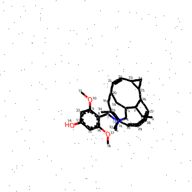 CCC1C(CN(C)Cc2c(OC)cc(O)cc2OC)CC2C=CC3CC3C1C=C=C=CC(C)=C(C)C2